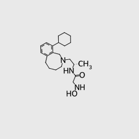 C[C@@H](CN1CCCCc2cccc(C3CCCCC3)c2C1)NC(=O)CNO